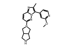 COc1cc(-c2c(C)nc3ccc(N4CC5CNCC5C4)nn23)ccn1